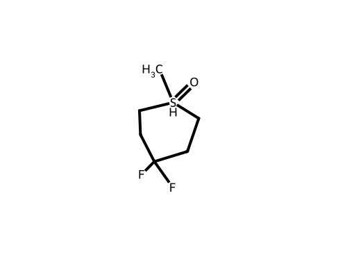 C[SH]1(=O)CCC(F)(F)CC1